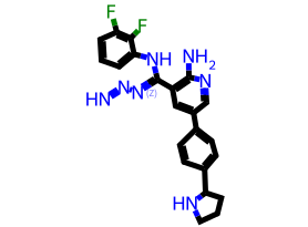 N=N/N=C(\Nc1cccc(F)c1F)c1cc(-c2ccc(C3CCCN3)cc2)cnc1N